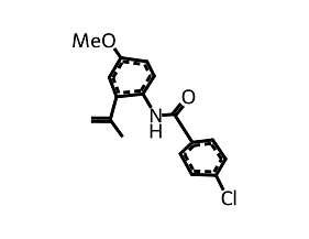 C=C(C)c1cc(OC)ccc1NC(=O)c1ccc(Cl)cc1